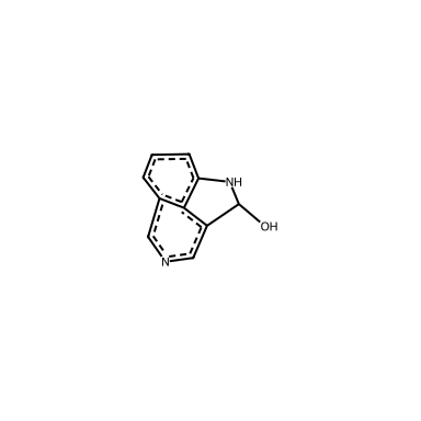 OC1Nc2cccc3cncc1c23